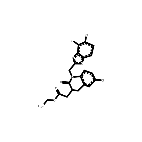 CCOC(=O)CC1Cc2cc(Cl)ccc2N(Cc2nc3c(Cl)c(Cl)ccc3s2)C1=O